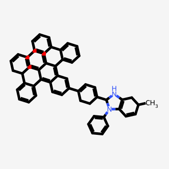 CC1C=CC2=C(C1)NC(C1=CC=C(c3ccc4c(-c5ccccc5C5C=CC=CC5)c5c(c(-c6ccccc6-c6ccccc6)c4c3)=CCCC=5)CC1)N2c1ccccc1